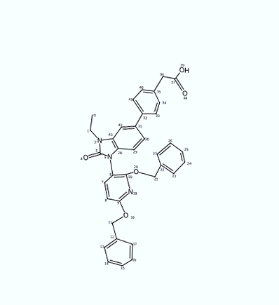 CCn1c(=O)n(-c2ccc(OCc3ccccc3)nc2OCc2ccccc2)c2ccc(-c3ccc(CC(=O)O)cc3)cc21